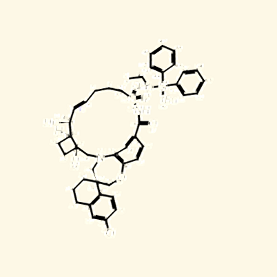 C[C@@H](C[C@H]1CC/C=C/[C@H](O)[C@@H]2CC[C@H]2CN2C[C@@]3(CCCc4cc(Cl)ccc43)COc3ccc(cc32)C(=O)NS1(=O)=O)O[Si](c1ccccc1)(c1ccccc1)C(C)(C)C